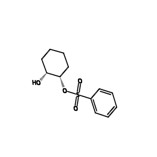 O=S(=O)(O[C@H]1CCCC[C@H]1O)c1ccccc1